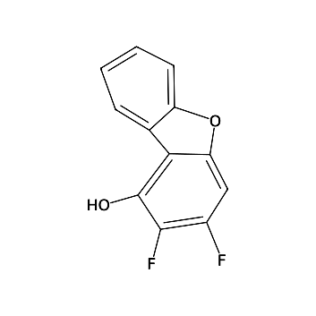 Oc1c(F)c(F)cc2oc3ccccc3c12